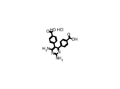 Cl.Nc1nc(N)c(-c2ccc(C(=O)O)cc2)c(-c2ccc(C(=O)O)cc2)n1